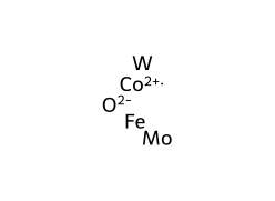 [Co+2].[Fe].[Mo].[O-2].[W]